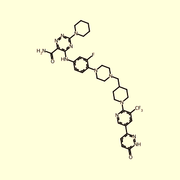 NC(=O)c1nnc(N2CCCCC2)nc1Nc1ccc(N2CCN(CC3CCN(c4ncc(-c5ccc(=O)[nH]n5)cc4C(F)(F)F)CC3)CC2)c(F)c1